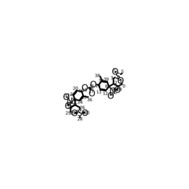 CCC(CS(C)(=O)=O)C1([N+](=O)[O-])C=CC(OC(=O)OC2C=CC(C(CC)CS(C)(=O)=O)([N+](=O)[O-])C=C2C)C(C)=C1